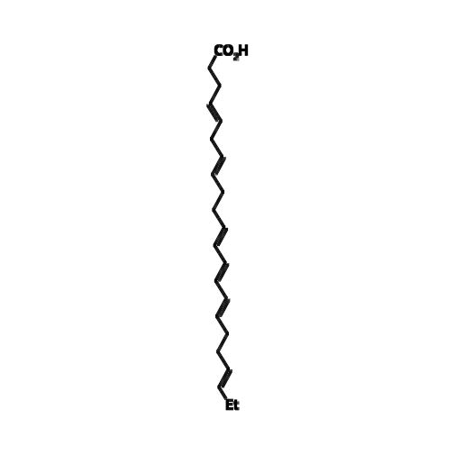 CCC=CCCC=CC=CC=CCCC=CCC=CCCC(=O)O